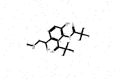 CNCC(O)c1ccc(O)c(OC(=O)C(C)(C)C)c1C(=O)C(C)(C)C